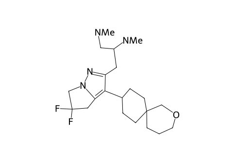 CNCC(Cc1nn2c(c1C1CCC3(CCCOC3)CC1)CC(F)(F)C2)NC